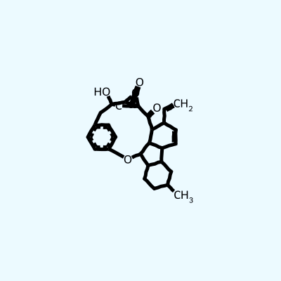 C=CC1C=CC2C3CC(C)CCC3C3Oc4ccc(cc4)CC4(O)CC(=O)C5(OC45)C(=O)C1C23